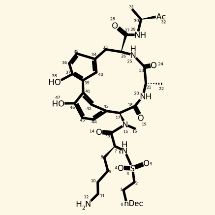 CCCCCCCCCCCCS(=O)(=O)N[C@@H](CCCCN)C(=O)N(C)[C@@H]1C(=O)N[C@@H](C)C(=O)N[C@H](C(=O)N[C@@H](C)C(C)=O)Cc2ccc(O)c(c2)-c2cc1ccc2O